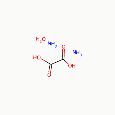 N.N.O.O=C(O)C(=O)O